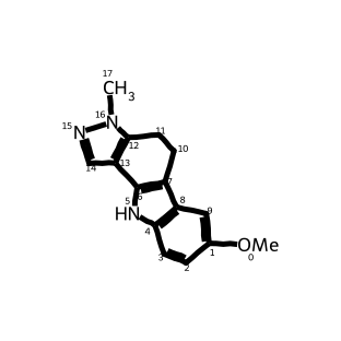 COc1ccc2[nH]c3c(c2c1)CCc1c-3cnn1C